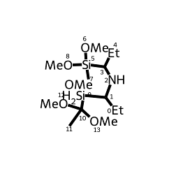 CCC(NC(CC)[Si](OC)(OC)OC)[SiH2]C(C)(OC)OC